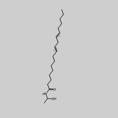 CCCCC/C=C/C/C=C/CCCCCCCC(=O)NC(C)O